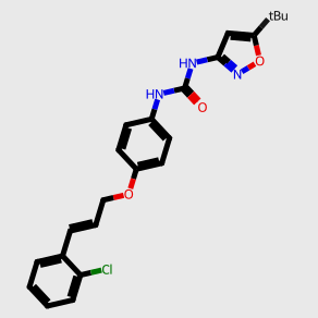 CC(C)(C)c1cc(NC(=O)Nc2ccc(OC/C=C/c3ccccc3Cl)cc2)no1